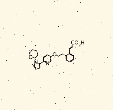 O=C(O)C=Cc1ccccc1CCOc1ccc(-c2ccnn2C2CCCCO2)nc1